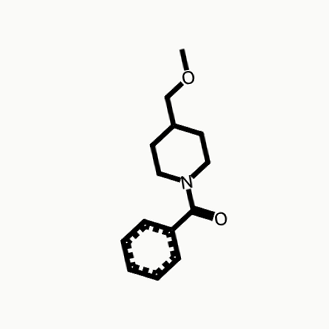 COCC1CCN(C(=O)c2ccccc2)CC1